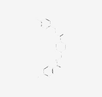 Cc1ccc(COC(=O)N2CCC(CNC(=O)c3ccc(O)nc3)CC2)cc1